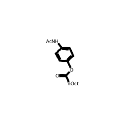 CCCCCCCCC(=O)Oc1ccc(NC(C)=O)cc1